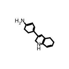 NC1=CC=C(C2=CC3=C(C=CCC3)NC2)CC1